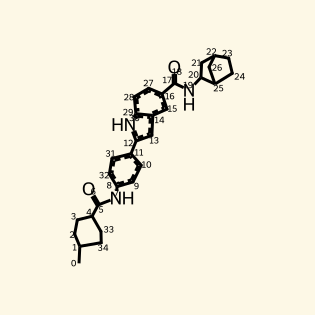 CC1CCC(C(=O)Nc2ccc(-c3cc4cc(C(=O)NC5CC6CCC5C6)ccc4[nH]3)cc2)CC1